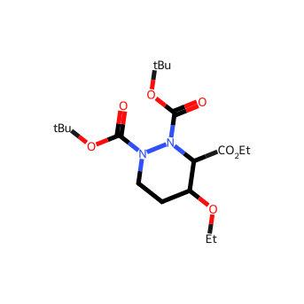 CCOC(=O)C1C(OCC)CCN(C(=O)OC(C)(C)C)N1C(=O)OC(C)(C)C